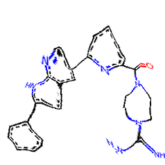 N=C(N)N1CCN(C(=O)c2cccc(-c3cnc4[nH]c(-c5ccccc5)cc4c3)n2)CC1